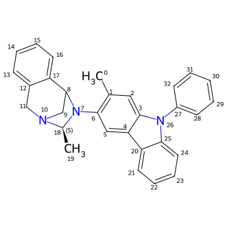 Cc1cc2c(cc1N1C3CN(Cc4ccccc43)[C@@H]1C)c1ccccc1n2-c1ccccc1